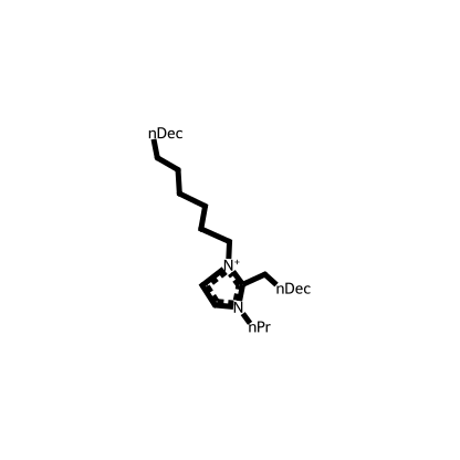 CCCCCCCCCCCCCCCC[n+]1ccn(CCC)c1CCCCCCCCCCC